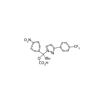 CC(C)(C)C(OC(=O)O)(c1ccc([N+](=O)[O-])cc1)n1ccc(-c2ccc(C(F)(F)F)cc2)n1